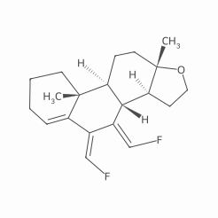 C[C@]12CCCC=C1C(=C/F)/C(=C/F)[C@@H]1[C@@H]2CC[C@]2(C)OCC[C@@H]12